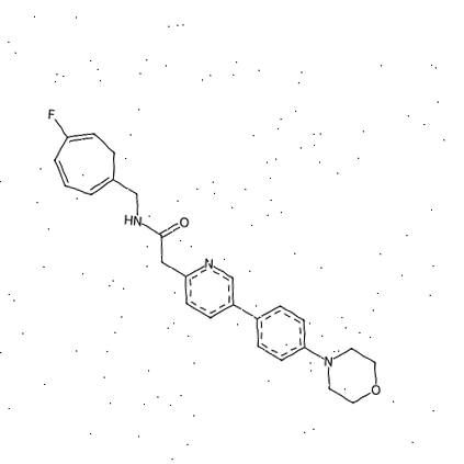 O=C(Cc1ccc(-c2ccc(N3CCOCC3)cc2)cn1)NCC1=CC=CC(F)=CC1